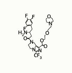 NC(CC(=O)N1CCn2c(C(F)(F)F)nc(C(=O)OCCOCCN3CCOCC3)c2C1)Cc1cc(F)c(F)cc1F